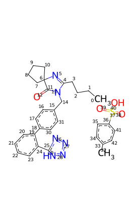 CCCCC1=NC2(CCCC2)C(=O)N1Cc1ccc(-c2ccccc2-c2nnn[nH]2)cc1.Cc1ccc(S(=O)(=O)O)cc1